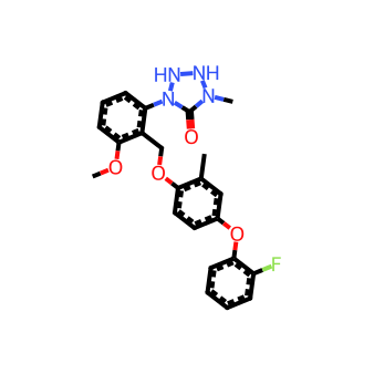 COc1cccc(N2NNN(C)C2=O)c1COc1ccc(Oc2ccccc2F)cc1C